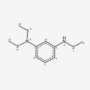 CSNc1cccc(N(SC)SC)c1